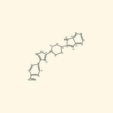 COc1ccc(-c2noc(N3CCC(c4nc5ccccc5[nH]4)CC3)n2)cc1